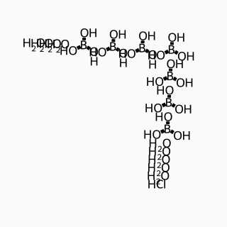 Cl.O.O.O.O.O.O.O.O.O.OB(O)O.OB(O)O.OB(O)O.OB(O)O.OB(O)O.OB(O)O.OB(O)O